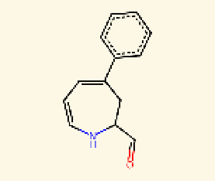 O=CC1CC(c2ccccc2)=CC=CN1